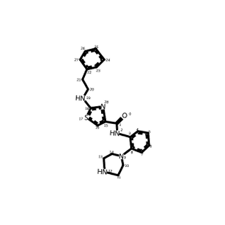 O=C(Nc1ccccc1N1CCNCC1)c1csc(NCCc2ccccc2)n1